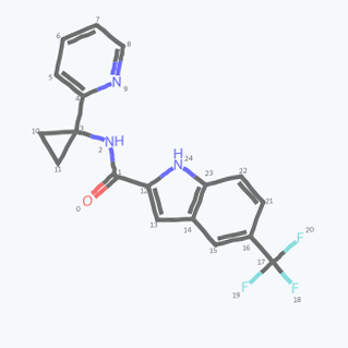 O=C(NC1(c2ccccn2)CC1)c1cc2cc(C(F)(F)F)ccc2[nH]1